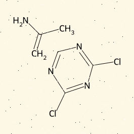 C=C(C)N.Clc1ncnc(Cl)n1